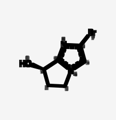 O[C@@H]1CCn2cc(Br)nc21